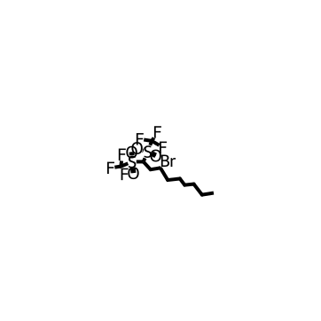 CCCCCCC(Br)CC(S(=O)(=O)C(F)(F)F)S(=O)(=O)C(F)(F)F